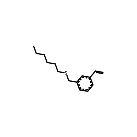 C=Cc1cccc(CSCCCCCC)c1